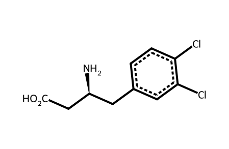 N[C@H](CC(=O)O)Cc1ccc(Cl)c(Cl)c1